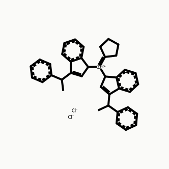 CC(C1=C[CH]([Zr+2](=[C]2CCCC2)[CH]2C=C(C(C)c3ccccc3)c3ccccc32)c2ccccc21)c1ccccc1.[Cl-].[Cl-]